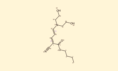 CCCCOC(=O)/C(C#N)=C\C=C\N(CCO)CCO